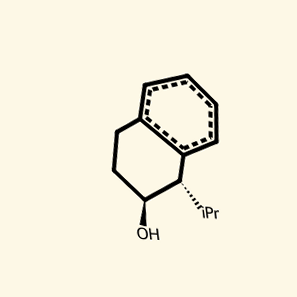 CC(C)[C@H]1c2ccccc2CC[C@@H]1O